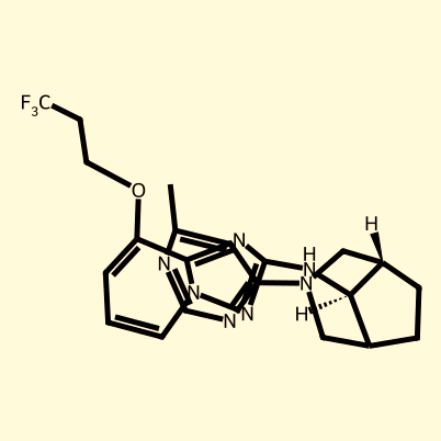 Cc1cc(N2CC3CC[C@@H](C2)[C@@H]3Nc2nc3c(OCCC(F)(F)F)cccn3n2)ncn1